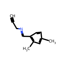 C#CCN=Cc1ccc(C)cc1C